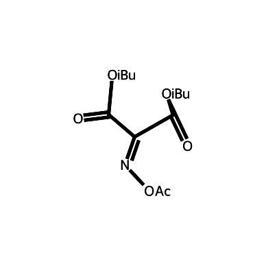 CC(=O)ON=C(C(=O)OCC(C)C)C(=O)OCC(C)C